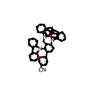 N#Cc1ccc(-c2ccc(-n3c4ccccc4c4ccccc43)c(Cn3c4ccccc4c4ccccc43)c2-n2c3ccccc3c3ccccc32)cc1